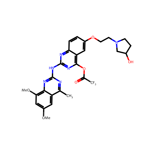 COc1cc(OC)c2nc(Nc3nc(OC(=O)C(F)(F)F)c4cc(OCCN5CCC(O)C5)ccc4n3)nc(C)c2c1